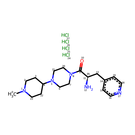 CN1CCC(N2CCN(C(=O)[C@H](N)Cc3ccncc3)CC2)CC1.Cl.Cl.Cl.Cl